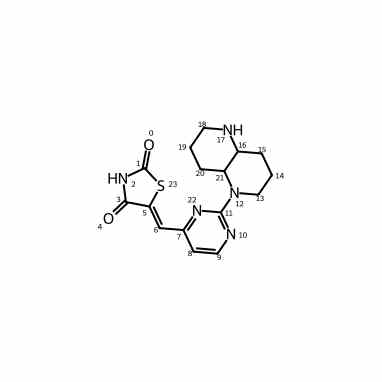 O=C1NC(=O)C(=Cc2ccnc(N3CCCC4NCCCC43)n2)S1